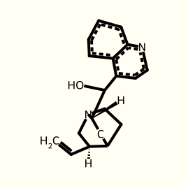 C=C[C@H]1CN2CCC1C[C@H]2C(O)c1ccnc2ccccc12